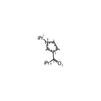 CC(C)C(=O)c1ccn(C(C)C)c1